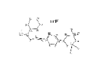 CCN(CC#Cc1ccc(C2CC(C)(C)CC(C)(C)C2)cc1)C1CCCCC1.Cl